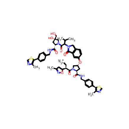 CC[C@@H](C(=O)N1C[C@H](Oc2ccc3c(c2)C(=O)N(C(C(=O)N2C[C@](O)(CO)C[C@H]2C(=O)NCc2ccc(-c4scnc4C)cc2)C(C)C)C3)C[C@H]1C(=O)NCc1ccc(-c2scnc2C)cc1)c1cc(C)no1